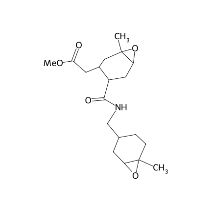 COC(=O)CC1CC2(C)OC2CC1C(=O)NCC1CCC2(C)OC2C1